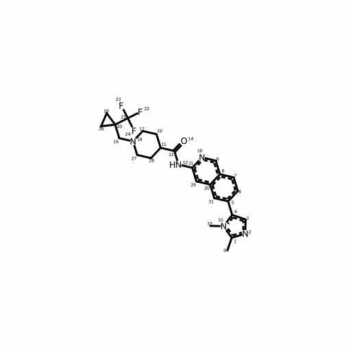 Cc1ncc(-c2ccc3cnc(NC(=O)C4CCN(CC5(C(F)(F)F)CC5)CC4)cc3c2)n1C